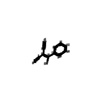 N#CC(C#N)=C(I)c1ccccc1